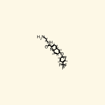 NCCNC(=O)c1ccc2cc(Oc3ccc(C(F)(F)F)cn3)ccc2n1